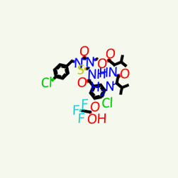 CC(C)[C@H](N)C(=O)N[C@H](C(=O)OCN1C(=O)N(Cc2ccc(Cl)cc2)SC1NC(=O)c1ccc(Cl)cc1)C(C)C.O=C(O)C(F)(F)F